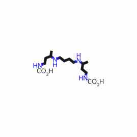 CC(CCNC(=O)O)NCCCCNC(C)CCNC(=O)O